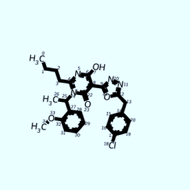 CCCCc1nc(O)c(-c2nnc(Cc3ccc(Cl)cc3)o2)c(=O)n1C(C)c1ccccc1OC